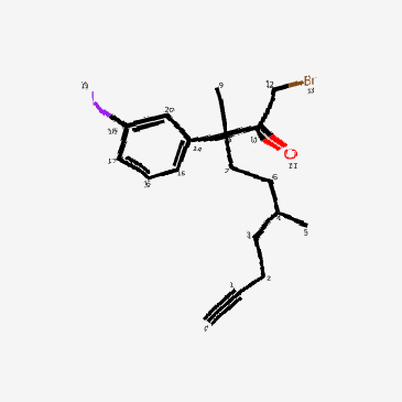 C#CCCC(C)CCC(C)(C(=O)CBr)c1cccc(I)c1